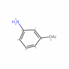 CC(=O)Oc1[c]ccc(N)c1